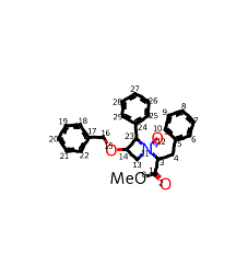 COC(=O)C(Cc1ccccc1)[N+]1([O-])CC(OCc2ccccc2)C1c1ccccc1